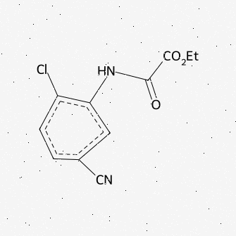 CCOC(=O)C(=O)Nc1cc(C#N)ccc1Cl